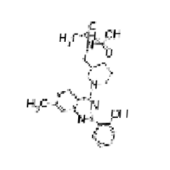 Cc1ccc2c(N3CCC[C@H](CN(C(=O)O)C(C)C)C3)nc(-c3ccccc3O)nc2c1